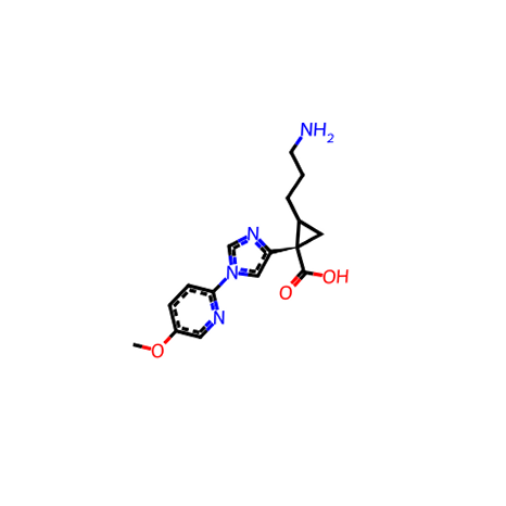 COc1ccc(-n2cnc([C@]3(C(=O)O)CC3CCCN)c2)nc1